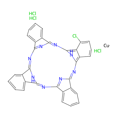 Cl.Cl.Cl.Clc1cccc2c3nc4nc(nc5[nH]c(nc6nc(nc([nH]3)c12)-c1ccccc1-6)c1ccccc51)-c1ccccc1-4.[Cu]